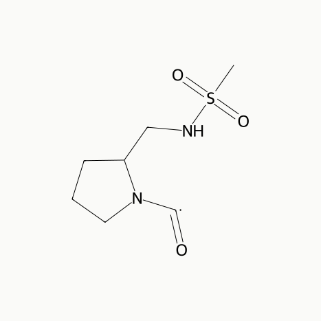 CS(=O)(=O)NCC1CCCN1[C]=O